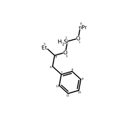 CCCO[SiH2]OC(CC)Cc1ccccc1